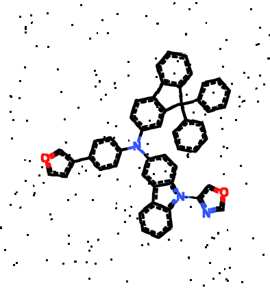 c1ccc(C2(c3ccccc3)c3ccccc3-c3ccc(N(c4ccc(-c5ccoc5)cc4)c4ccc5c(c4)c4ccccc4n5-c4cocn4)cc32)cc1